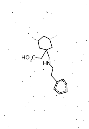 C[C@@H]1C[C@H](C)CC(CNCCc2ccccc2)(CC(=O)O)C1